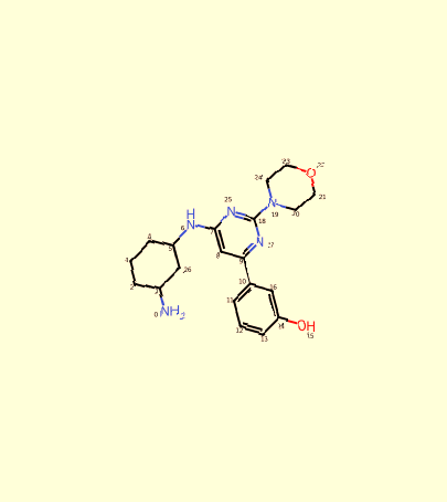 NC1CCCC(Nc2cc(-c3cccc(O)c3)nc(N3CCOCC3)n2)C1